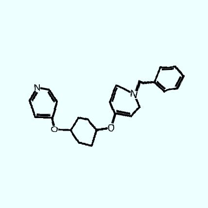 C1=CN(Cc2ccccc2)CC=C1OC1CCC(Oc2ccncc2)CC1